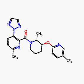 Cc1ccc(-n2nccn2)c(C(=O)N2CCC[C@H](Oc3ccc(C(F)(F)F)cn3)[C@H]2C)n1